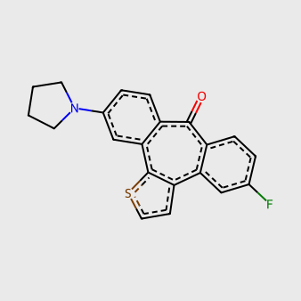 O=c1c2ccc(F)cc2c2ccsc2c2cc(N3CCCC3)ccc12